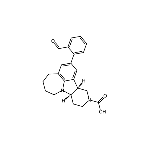 O=Cc1ccccc1-c1cc2c3c(c1)[C@@H]1CN(C(=O)O)CC[C@@H]1N3CCCC2